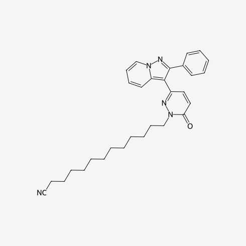 N#CCCCCCCCCCCCCn1nc(-c2c(-c3ccccc3)nn3ccccc23)ccc1=O